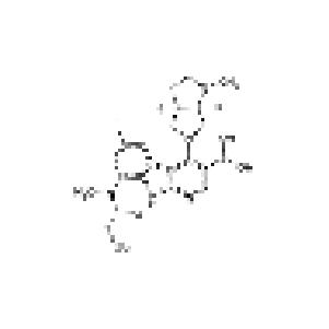 CN(C(=O)OC(C)(C)C)c1cc(F)cc2c1[nH]c1ncc(B(O)O)c(N3C[C@H]4CCN(C)[C@H]4C3)c12